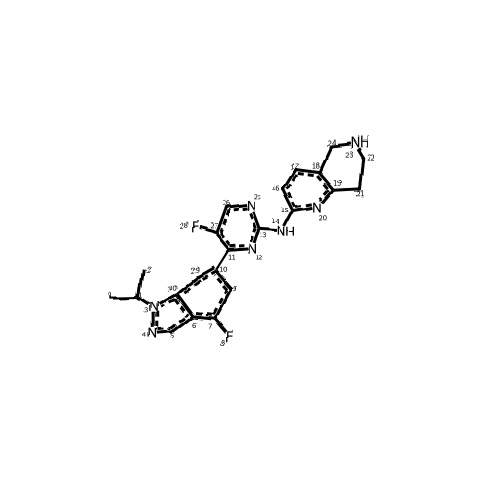 CC(C)n1ncc2c(F)cc(-c3nc(Nc4ccc5c(n4)CCNC5)ncc3F)cc21